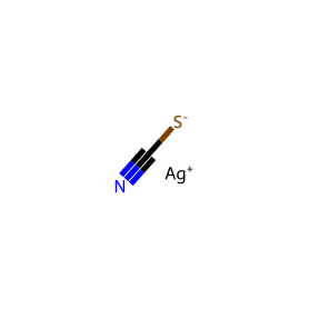 N#C[S-].[Ag+]